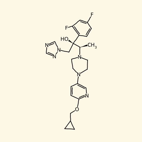 C[C@@H](N1CCN(c2ccc(OCC3CC3)nc2)CC1)[C@](O)(Cn1cncn1)c1ccc(F)cc1F